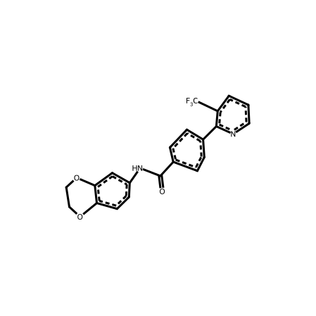 O=C(Nc1ccc2c(c1)OCCO2)c1ccc(-c2ncccc2C(F)(F)F)cc1